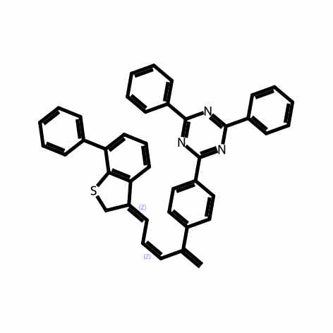 C=C(/C=C\C=C1/CSc2c1cccc2-c1ccccc1)c1ccc(-c2nc(-c3ccccc3)nc(-c3ccccc3)n2)cc1